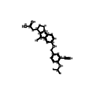 CC(C)Oc1ccc(COc2ccc3c(c2)c(I)c2n3CCC2CC(=O)O)cc1C#N